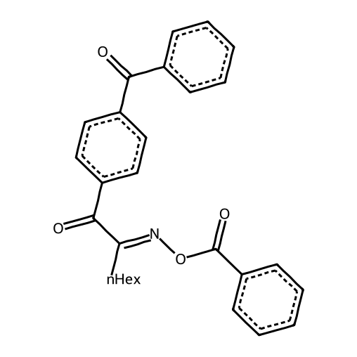 CCCCCC/C(=N\OC(=O)c1ccccc1)C(=O)c1ccc(C(=O)c2ccccc2)cc1